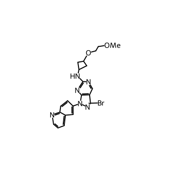 COCCOC1CC(Nc2ncc3c(Br)nn(-c4ccc5ncccc5c4)c3n2)C1